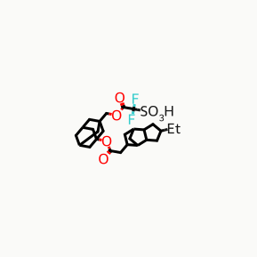 CCC1CC2C3CC(CC(=O)OC45CC6CC(CC(COC(=O)C(F)(F)S(=O)(=O)O)(C6)C4)C5)C(C3)C2C1